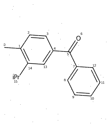 Cc1ccc(C(=O)c2ccccc2)cc1C(C)C